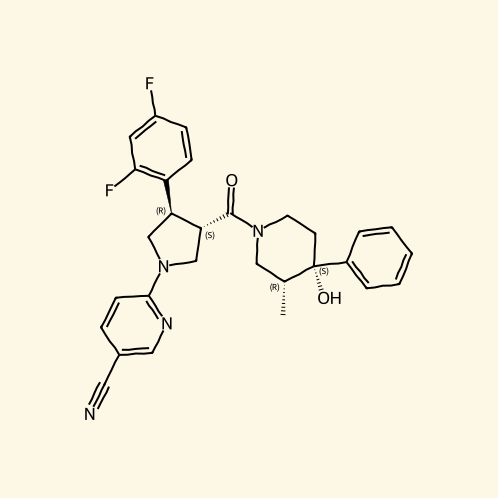 C[C@@H]1CN(C(=O)[C@@H]2CN(c3ccc(C#N)cn3)C[C@H]2c2ccc(F)cc2F)CC[C@@]1(O)c1ccccc1